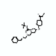 COC(=O)C1CCC(O[C@@H]2CC(COCOCc3ccccc3)N(C(=O)OC(C)(C)C)C2)CC1